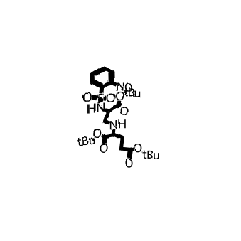 CC(C)(C)OC(=O)CCC(NCC(NS(=O)(=O)c1ccccc1[N+](=O)[O-])C(=O)OC(C)(C)C)C(=O)OC(C)(C)C